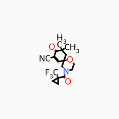 CC1(C)CC2(C=C(C#N)C1=O)CN(C(=O)C1(C(F)(F)F)CC1)CCO2